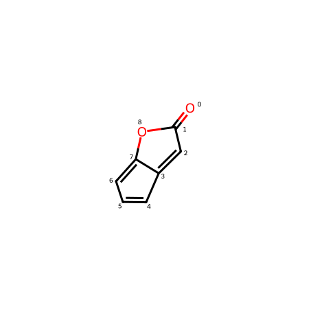 O=C1C=C2C=CC=C2O1